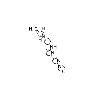 CN1C[C@@H]2C[C@H]1CN2c1ccc(Nc2nccc(-c3ccc(N4CCOCC4)nc3)n2)cc1